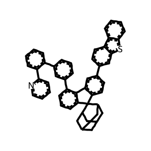 c1ccc(-c2ccccc2-c2cccc(-c3cccc4c3-c3cc(-c5ccc6c(c5)sc5ccccc56)ccc3C43C4CC5CC(C4)CC3C5)c2)nc1